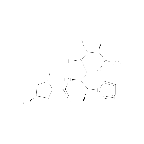 CCC[C@@H]1C[C@@H](C(=O)N[C@@H]([C@H]2OC(SC)[C@H](O)C(O)C2O)[C@H](C)n2ccnc2)N(C)C1